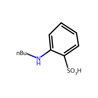 CCCCNc1ccccc1S(=O)(=O)O